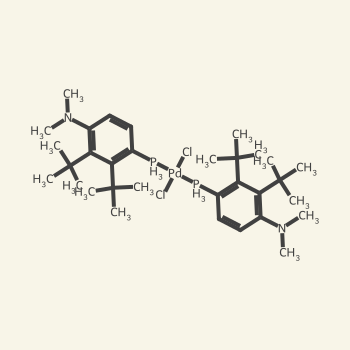 CN(C)c1ccc([PH3][Pd]([Cl])([Cl])[PH3]c2ccc(N(C)C)c(C(C)(C)C)c2C(C)(C)C)c(C(C)(C)C)c1C(C)(C)C